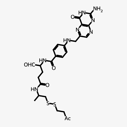 CC(=O)CCSSCC(C)NC(=O)CCC(C=O)NC(=O)c1ccc(NCc2cnc3nc(N)[nH]c(=O)c3n2)cc1